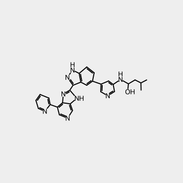 CC(C)CC(O)Nc1cncc(-c2ccc3[nH]nc(-c4nc5c(-c6ccccn6)cncc5[nH]4)c3c2)c1